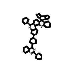 c1ccc(-c2nc(-c3ccc(-c4ccc5c(c4)nc(-c4ccccc4)c4ccc6c(c45)Sc4ccccc4C64c5ccccc5-c5ccccc54)cc3)c3ccccc3n2)cc1